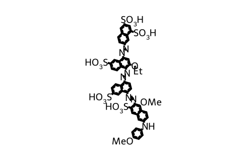 CCOc1cc(N=Nc2ccc3cc(S(=O)(=O)O)cc(S(=O)(=O)O)c3c2)c2cc(S(=O)(=O)O)ccc2c1N=Nc1ccc(N=Nc2c(S(=O)(=O)O)cc3cc(Nc4ccc(OC)cc4)ccc3c2OC)c2cc(S(=O)(=O)O)ccc12